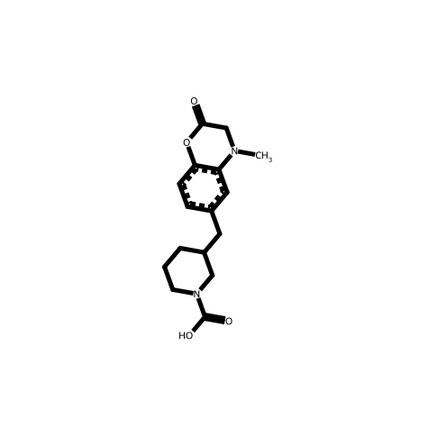 CN1CC(=O)Oc2ccc(CC3CCCN(C(=O)O)C3)cc21